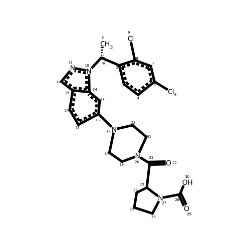 C[C@H](c1ccc(Cl)cc1Cl)n1ncc2ccc(N3CCN(C(=O)C4CCCN4C(=O)O)CC3)cc21